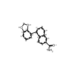 NC(=O)c1ccc2c(-c3cccc4c3OCO4)cccc2c1